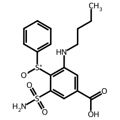 CCCCNc1cc(C(=O)O)cc(S(N)(=O)=O)c1[S+]([O-])c1ccccc1